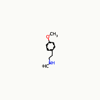 [CH]NCCc1ccc(OC)cc1